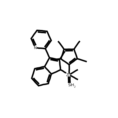 CC1=C(C)C(C)[C]([Zr]([CH3])([CH3])(=[SiH2])[CH]2C(C)=C(c3ccccn3)c3ccccc32)=C1C